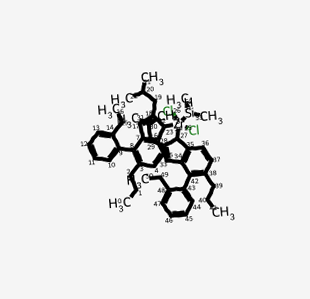 CCCc1ccc2c(c1-c1ccccc1CC)C=C(CC(C)C)[CH]2[Zr]([Cl])([Cl])([CH]1C(CC(C)C)=Cc2c1ccc(CCC)c2-c1ccccc1CC)[SiH](C)C